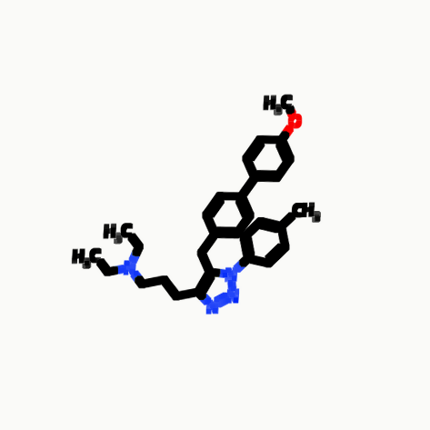 CCN(CC)CCCc1nnn(-c2ccc(C)cc2)c1Cc1ccc(-c2ccc(OC)cc2)cc1